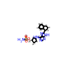 C[C@H]1C[C@H](Nc2ncnc3[nH]c(C4CCCc5ccccc54)nc23)C[C@H]1COS(N)(=O)=O